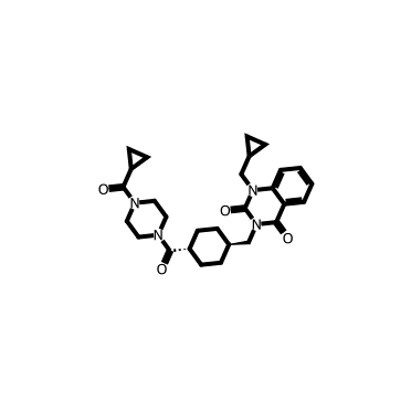 O=C(C1CC1)N1CCN(C(=O)[C@H]2CC[C@H](Cn3c(=O)c4ccccc4n(CC4CC4)c3=O)CC2)CC1